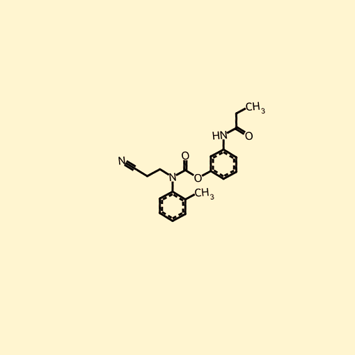 CCC(=O)Nc1cccc(OC(=O)N(CCC#N)c2ccccc2C)c1